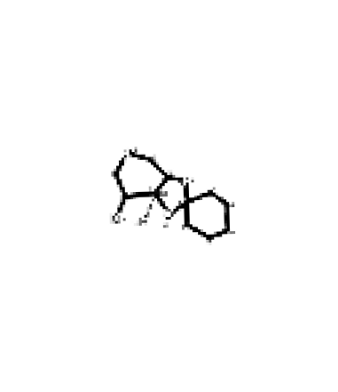 OC1COCC2OC3(CCCCC3)O[C@@H]12